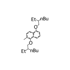 CCCCC(CC)COc1cccc2c(OCC(CC)CCCC)c(C)ccc12